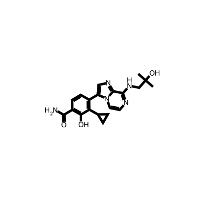 CC(C)(O)CNc1nccn2c(-c3ccc(C(N)=O)c(O)c3C3CC3)cnc12